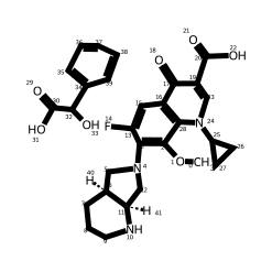 COc1c(N2C[C@@H]3CCCN[C@@H]3C2)c(F)cc2c(=O)c(C(=O)O)cn(C3CC3)c12.O=C(O)C(O)c1ccccc1